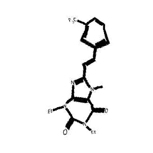 CCn1c(=O)c2c(nc(C=Cc3cccc(C(F)(F)F)c3)n2C)n(CC)c1=O